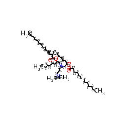 CCCCCCCCCCCCCC(=O)OC(CCCCCC)CN(CCCN(C)C)CC(CCCCCC)OC(=O)CCCCCCCCCCCCC